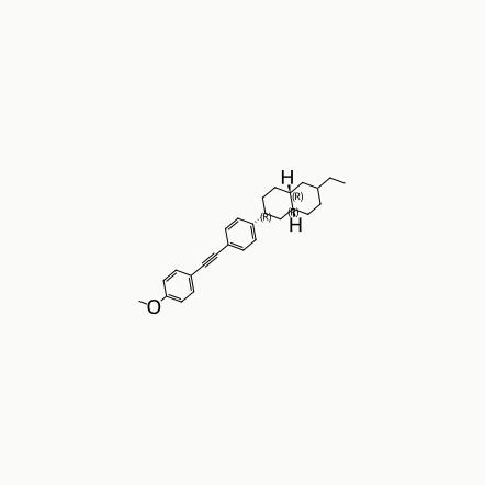 CCC1CC[C@@H]2C[C@H](c3ccc(C#Cc4ccc(OC)cc4)cc3)CC[C@@H]2C1